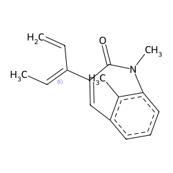 C=C/C(=C\C)C1=Cc2cccc(c2C)N(C)C1=O